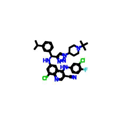 CC(C)c1cccc([C@H](Nc2cc(Cl)c3ncc(C#N)c(Nc4ccc(F)c(Cl)c4)c3c2)c2cn(C3CCN(C(C)(C)C)CC3)nn2)c1